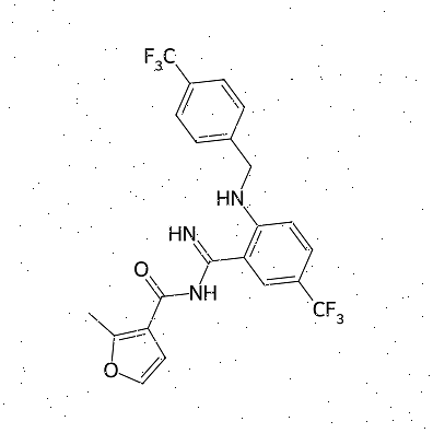 Cc1occc1C(=O)NC(=N)c1cc(C(F)(F)F)ccc1NCc1ccc(C(F)(F)F)cc1